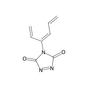 C=C/C=C(\C=C)N1C(=O)N=NC1=O